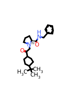 CC(C)(C)C1CCC(C(=O)CN2CCC[C@H]2C(=O)NCc2ccccc2)CC1